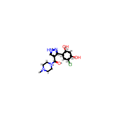 CN1CCN(C(=O)c2c[nH]nc2-c2cc(Cl)c(O)cc2O)CC1